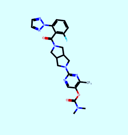 CN(C)C(=O)Oc1cnc(N2CC3CN(C(=O)c4c(F)cccc4-n4nccn4)CC3C2)nc1C(F)(F)F